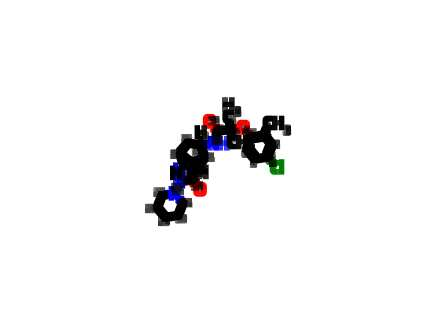 Cc1cc(Cl)ccc1OC(C)(C)C(=O)N[C@@H]1CC2C[C@H](C)C1[C@H](C(=O)NN1CCCCC1)C2